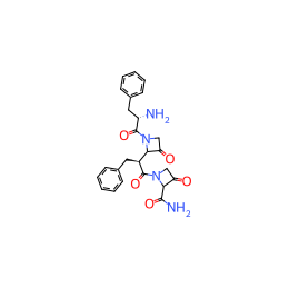 NC(=O)C1C(=O)CN1C(=O)[C@@H](Cc1ccccc1)C1C(=O)CN1C(=O)[C@@H](N)Cc1ccccc1